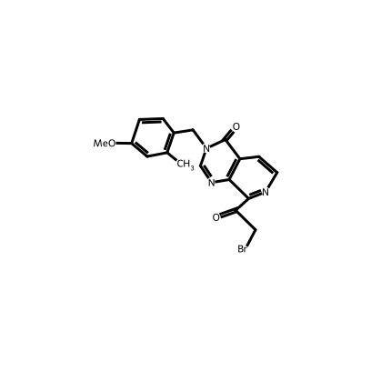 COc1ccc(Cn2cnc3c(C(=O)CBr)nccc3c2=O)c(C)c1